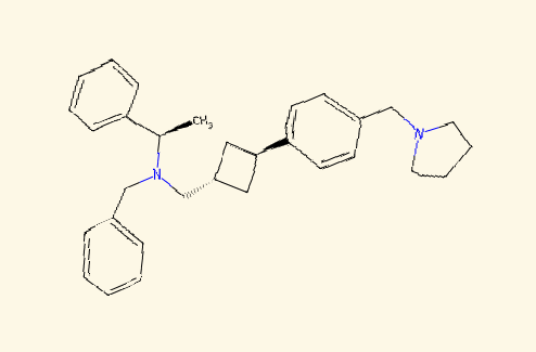 C[C@H](c1ccccc1)N(Cc1ccccc1)C[C@H]1C[C@H](c2ccc(CN3CCCC3)cc2)C1